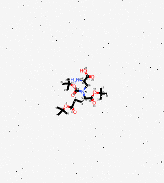 CC(C)(C)OC(=O)CC[C@@H](C(=O)OC(C)(C)C)N(C[C@@H](N)C(=O)O)C(=O)OC(C)(C)C